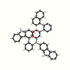 c1cc(-c2ccccc2-c2cccc3ccccc23)cc(N(c2ccc3c(c2)oc2ccccc23)c2ccccc2-c2cccc3oc4ccccc4c23)c1